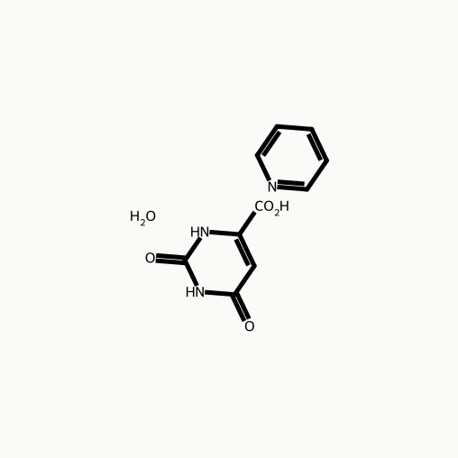 O.O=C(O)c1cc(=O)[nH]c(=O)[nH]1.c1ccncc1